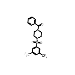 O=C(c1ccccc1)N1CCN(S(=O)(=O)c2cc(C(F)(F)F)cc(C(F)(F)F)c2)CC1